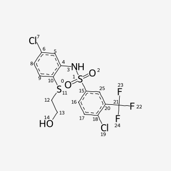 O=S(=O)(Nc1cc(Cl)ccc1SCCO)c1ccc(Cl)c(C(F)(F)F)c1